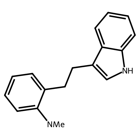 CNc1ccccc1CCc1c[nH]c2ccccc12